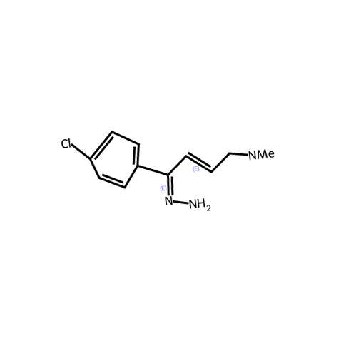 CNC/C=C/C(=N\N)c1ccc(Cl)cc1